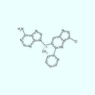 C[C@@H](c1cc2ncc(Cl)n2nc1-c1ccccn1)n1cnc2c(N)ncnc21